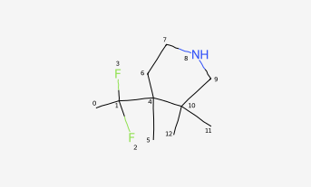 CC(F)(F)C1(C)CCNCC1(C)C